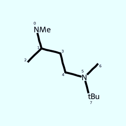 CNC(C)CCN(C)C(C)(C)C